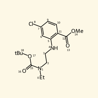 CCN(CCNc1cc(Cl)ccc1C(=O)OC)C(=O)OC(C)(C)C